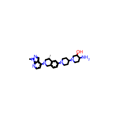 C[C@H]1CN(c2ccnc3c2cnn3C)Cc2ccc(N3CCC(N4CCC(N)C(O)C4)CC3)cc21